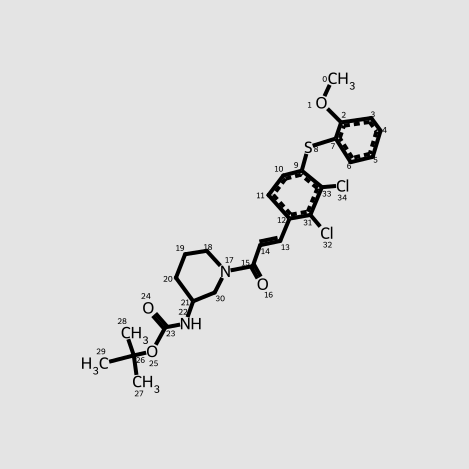 COc1ccccc1Sc1ccc(/C=C/C(=O)N2CCCC(NC(=O)OC(C)(C)C)C2)c(Cl)c1Cl